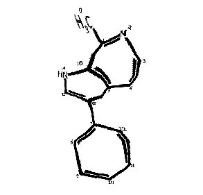 Cc1nccc2c(-c3ccccc3)c[nH]c12